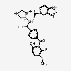 COc1ccc(O)c(C(=O)c2ccc(C(O)N[C@@H]3CNC[C@H]3NC(=O)c3ccc4[nH]nnc4c3)cc2)c1F